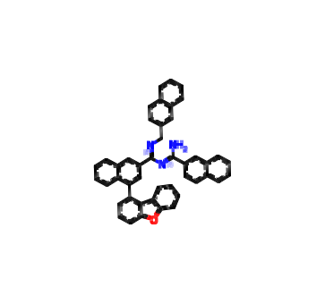 N/C(=N\C(=N/Cc1ccc2ccccc2c1)c1cc(-c2cccc3oc4ccccc4c23)c2ccccc2c1)c1ccc2ccccc2c1